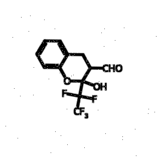 O=CC1Cc2ccccc2OC1(O)C(F)(F)C(F)(F)F